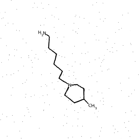 CC1CCN(CCCCCCN)CC1